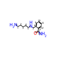 NCCC[CH]CNCc1ccccc1C(N)=O